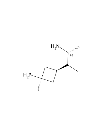 CC([C@H]1C[C@@](C)(P)C1)[C@@H](C)N